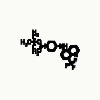 CC(C)(C)OC(=O)N1CCC(Nc2ccc(C(F)(F)F)c3ncccc23)CC1